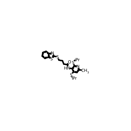 Cc1cc(SC(C)C)c(NC(=O)CCCSc2nc3ccccc3s2)c(SC(C)C)n1